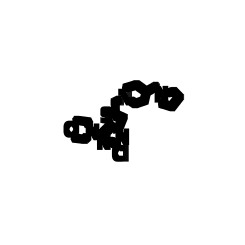 Clc1nc(N2CCOCC2)c2sc(CN3CCC(CN4CCCC4)CC3)cc2n1